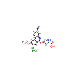 COc1cc2c(cc1Br)c(O[C@H]1CN[C@H](C(=O)O)C1)nc1cc(C#N)ccc12.Cl